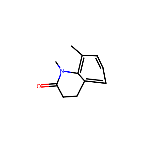 Cc1cccc2c1N(C)C(=O)CC2